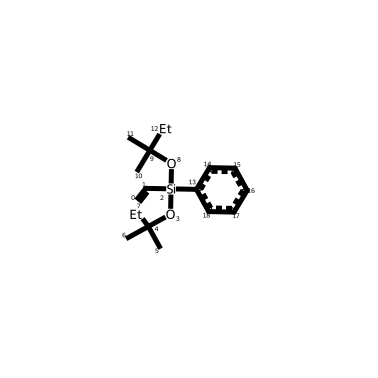 C=C[Si](OC(C)(C)CC)(OC(C)(C)CC)c1ccccc1